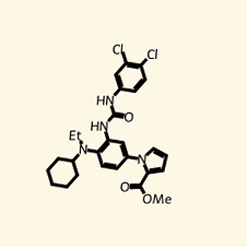 CCN(c1ccc(-n2cccc2C(=O)OC)cc1NC(=O)Nc1ccc(Cl)c(Cl)c1)C1CCCCC1